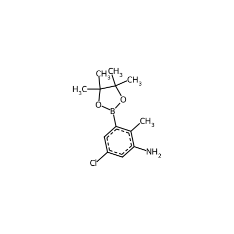 Cc1c(N)cc(Cl)cc1B1OC(C)(C)C(C)(C)O1